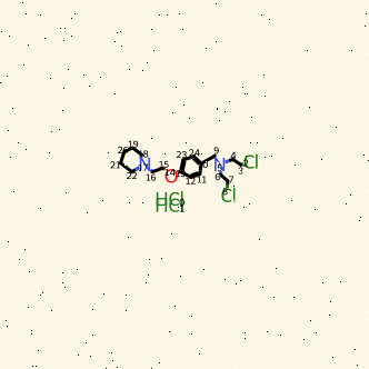 Cl.Cl.ClCCN(CCCl)Cc1ccc(OCCN2CCCCC2)cc1